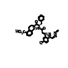 C=N/N=C\N(N)c1ccc(Cl)cc1/C=C/C(=O)N[C@@H](Cc1ccccc1)C(=O)N1CCc2c(cccc2C(=O)O)C1